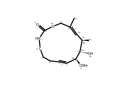 CO[C@H]1/C=C/CCCNC(=O)OC/C(C)=C\[C@@H](C)[C@@H]1O